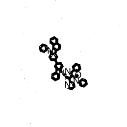 O=c1c2c(-c3ccccc3)nc(-n3c4ccccc4c4cc(-c5ccc6c(c5)c5ccc7ccccc7c5n6-c5ccccc5)ccc43)cc2c2ncccc2n1-c1ccccc1